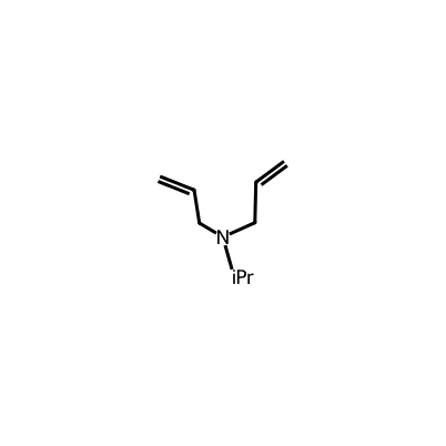 [CH2]C(C)N(CC=C)CC=C